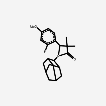 COc1ccc(C2N(C3C4CC5CC(C4)CC3C5)C(=O)C2(C)C)c(F)c1